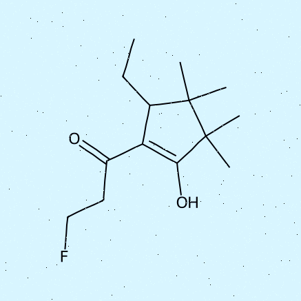 CCC1C(C(=O)CCF)=C(O)C(C)(C)C1(C)C